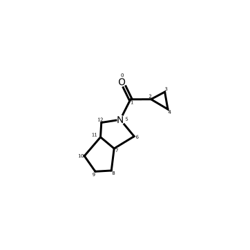 O=C(C1CC1)N1CC2CCCC2C1